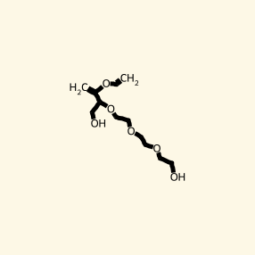 C=COC(=C)C(CO)OCCOCCOCCO